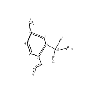 O=Cc1ccc(O)cc1C(F)(F)F